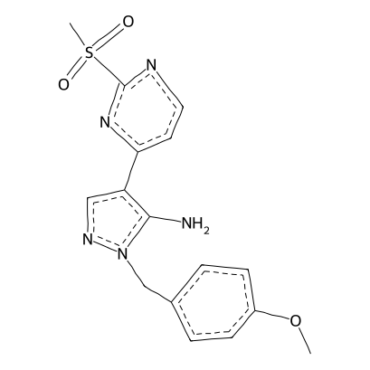 COc1ccc(Cn2ncc(-c3ccnc(S(C)(=O)=O)n3)c2N)cc1